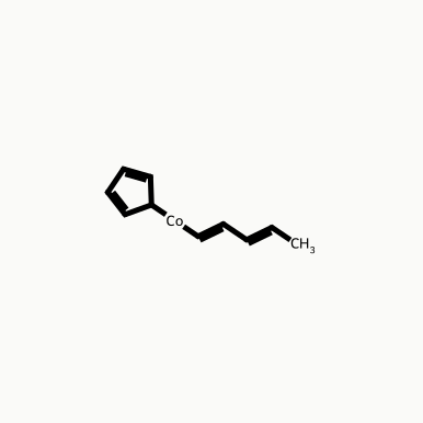 CC=CC=[CH][Co][CH]1C=CC=C1